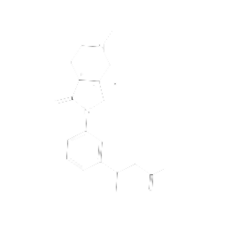 CC(CC(=O)O)c1cccc(N2C[C@@H]3CN(C)CC[C@]3(F)C2=O)c1